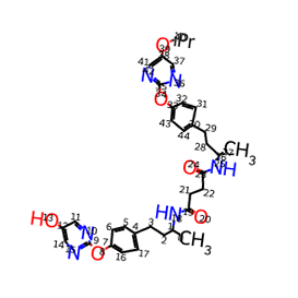 CC(CCc1ccc(Oc2ncc(O)cn2)cc1)NC(=O)CCC(=O)NC(C)CCc1ccc(Oc2ncc(OC(C)C)cn2)cc1